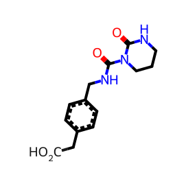 O=C(O)Cc1ccc(CNC(=O)N2CCCNC2=O)cc1